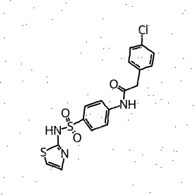 O=C(Cc1ccc(Cl)cc1)Nc1ccc(S(=O)(=O)Nc2nccs2)cc1